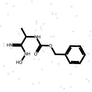 CC(NC(=O)OCc1ccccc1)C(=N)NO